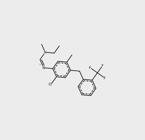 CCN(C)/C=N\c1cc(C)c(Cc2ccccc2C(F)(F)F)cc1Cl